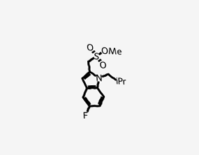 COS(=O)(=O)Cc1cc2cc(F)ccc2n1CC(C)C